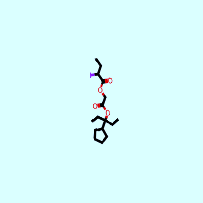 CCC(I)C(=O)OCC(=O)OC(CC)(CC)C1CCCC1